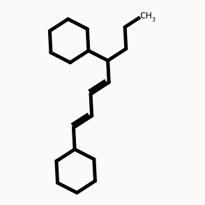 CCCC(C=CC=CC1CCCCC1)C1CCCCC1